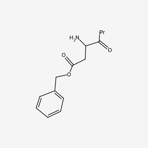 CC(C)C(=O)C(N)CC(=O)OCc1ccccc1